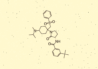 CC(C)N(C)C1CCC(CS(=O)(=O)c2ccccc2)(N2CC[C@H](NC(=O)c3cccc(C(C)(C)C)c3)C2=O)CC1